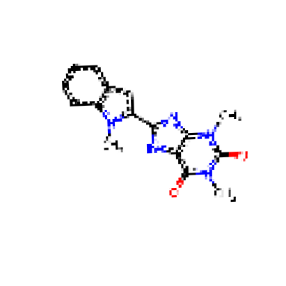 Cn1c(=O)c2[nH]c(-c3cc4ccccc4n3C)nc2n(C)c1=O